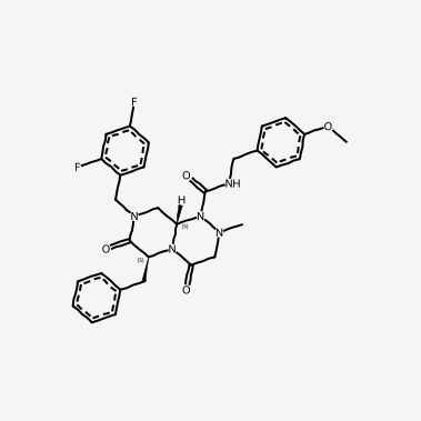 COc1ccc(CNC(=O)N2[C@H]3CN(Cc4ccc(F)cc4F)C(=O)[C@H](Cc4ccccc4)N3C(=O)CN2C)cc1